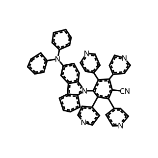 N#Cc1c(-c2ccncc2)c(-c2ccncc2)c(-n2c3ccccc3c3cc(N(c4ccccc4)c4ccccc4)ccc32)c(-c2ccncc2)c1-c1ccncc1